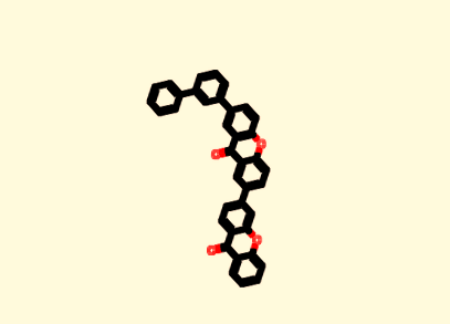 O=c1c2ccccc2oc2cc(-c3ccc4oc5ccc(-c6cccc(-c7ccccc7)c6)cc5c(=O)c4c3)ccc12